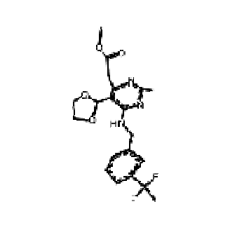 COC(=O)Cc1nc(C)nc(NCc2cccc(C(C)(F)F)c2)c1C1OCCO1